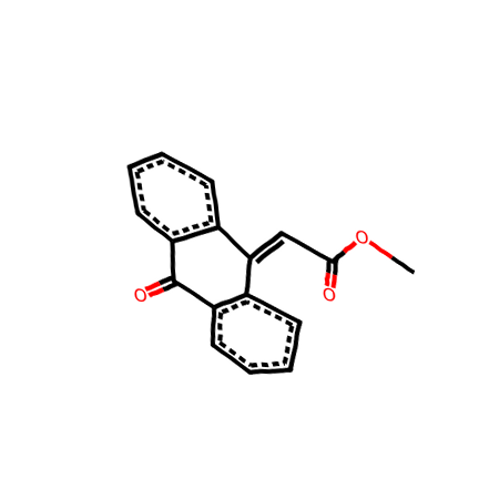 COC(=O)C=C1c2ccccc2C(=O)c2ccccc21